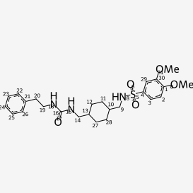 COc1ccc(S(=O)(=O)NCC2CCC(CNC(=O)NCCc3ccccc3)CC2)cc1OC